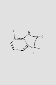 CC1(I)C(=O)Nc2c(F)cccc21